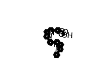 O=S(=O)(O)Oc1ccc(-c2ccc3ccc4ccc(-c5cccc(-c6ccc7ccc8ccc(-c9ccccc9)nc8c7n6)c5)nc4c3n2)cc1